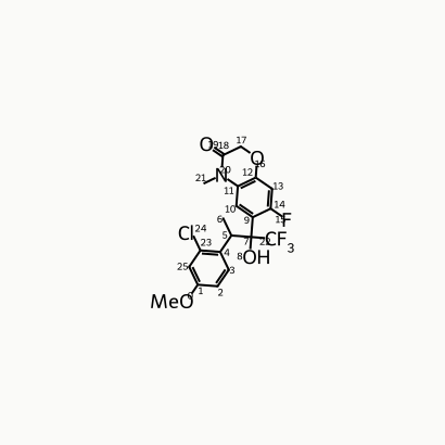 COc1ccc(C(C)C(O)(c2cc3c(cc2F)OCC(=O)N3C)C(F)(F)F)c(Cl)c1